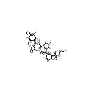 C[C@@H]1C[C@H](C(=O)N[C@@H](c2cc(F)c(Cl)cc2F)C2COC2)N(C(=O)c2cccc(S(=O)(=O)CCO)c2)C1